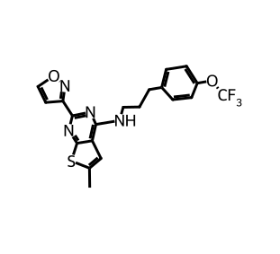 Cc1cc2c(NCCCc3ccc(OC(F)(F)F)cc3)nc(-c3ccon3)nc2s1